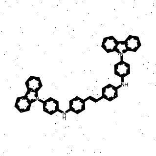 C(=Cc1ccc(Nc2ccc(-n3c4ccccc4c4ccccc43)cc2)cc1)c1ccc(Nc2ccc(-n3c4ccccc4c4ccccc43)cc2)cc1